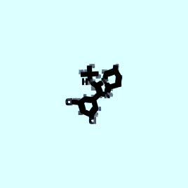 Cc1ccc2nc(-c3cc(Cl)cc(Cl)c3)c(NC(C)(C)C)n2c1